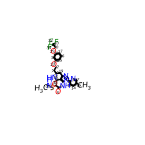 CNSCC(=O)Nc1c2c(nn1-c1ccc(C)cn1)CC(CCOc1cccc(OCC(F)(F)F)c1)NC2=O